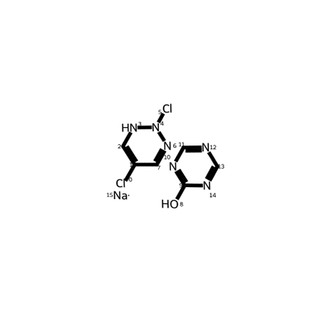 ClC1=CNN(Cl)N=C1.Oc1ncncn1.[Na]